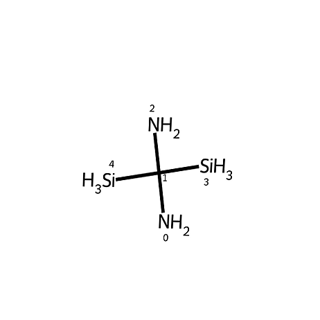 NC(N)([SiH3])[SiH3]